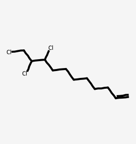 C=CCCCCCCC(Cl)C(Cl)CCl